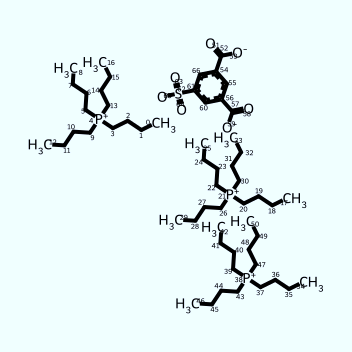 CCCC[P+](CCCC)(CCCC)CCCC.CCCC[P+](CCCC)(CCCC)CCCC.CCCC[P+](CCCC)(CCCC)CCCC.O=C([O-])c1cc(C(=O)[O-])cc(S(=O)(=O)[O-])c1